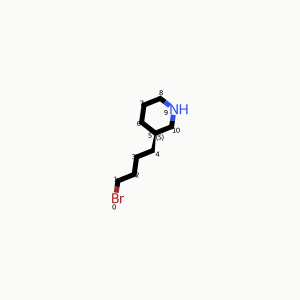 BrCCCC[C@H]1CCCNC1